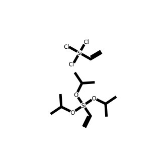 C=C[Si](Cl)(Cl)Cl.C=C[Si](OC(C)C)(OC(C)C)OC(C)C